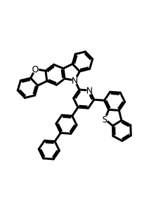 c1ccc(-c2ccc(-c3cc(-c4cccc5c4sc4ccccc45)nc(-n4c5ccccc5c5cc6oc7ccccc7c6cc54)c3)cc2)cc1